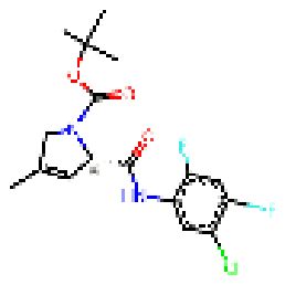 CC1=C[C@@H](C(=O)Nc2cc(Cl)c(F)cc2F)N(C(=O)OC(C)(C)C)C1